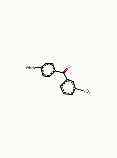 CSc1ccc(C(=O)c2cccc([N+](=O)[O-])c2)cc1